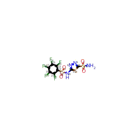 NS(=O)(=O)c1nnc(NS(=O)(=O)c2c(F)c(F)c(F)c(F)c2F)s1